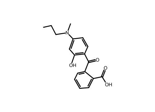 CCCN(C)c1ccc(C(=O)c2ccccc2C(=O)O)c(O)c1